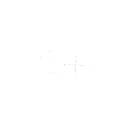 BC(B)(C1CCC2CC(C2)C1)C(C)(C)C